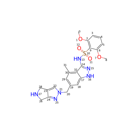 COc1cccc(OC)c1S(=O)(=O)Nc1n[nH]c2cc(Cn3cc4c(n3)CNC4)cc(C)c12